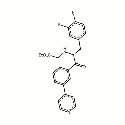 CCOC(=O)CN[C@@H](Cc1ccc(F)c(F)c1)C(=O)c1cccc(-c2ccncc2)c1